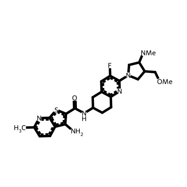 CNC1CN(c2nc3c(cc2F)CC(NC(=O)c2sc4nc(C)ccc4c2N)CC3)CC1COC